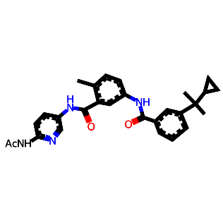 CC(=O)Nc1ccc(NC(=O)c2cc(NC(=O)c3cccc(C(C)(C)C4CC4)c3)ccc2C)cn1